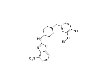 CCOc1cc(CN2CCC(Nc3nc4c([N+](=O)[O-])cccc4o3)CC2)ccc1Cl